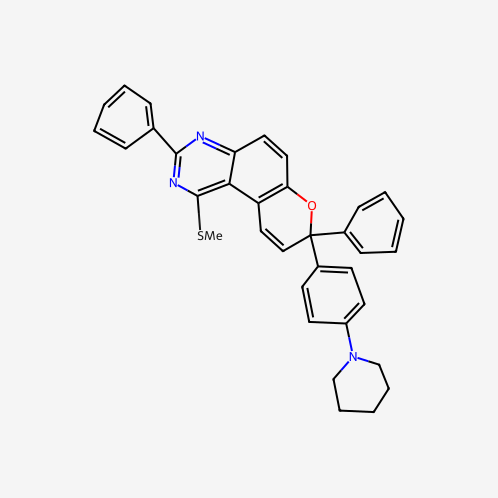 CSc1nc(-c2ccccc2)nc2ccc3c(c12)C=CC(c1ccccc1)(c1ccc(N2CCCCC2)cc1)O3